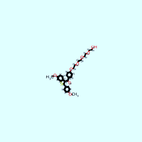 COc1ccc(-c2sc3cc(OC)ccc3c2C(=O)c2ccc(OCCOCCOCCOCCO)cc2)cc1